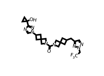 O=C(N1CC2(CC(Cc3cnn(CC(F)(F)F)n3)C2)C1)N1CC2(CC(n3cnc(C4(O)CC4)n3)C2)C1